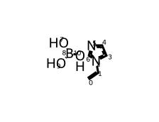 C=Cn1ccnc1.OB(O)O